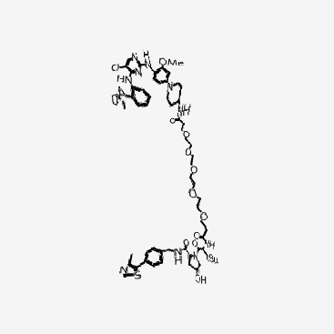 COc1cc(N2CCC(NC(=O)CCOCCOCCOCCOCCOCCC(=O)NC(C(=O)N3C[C@H](O)C[C@H]3C(=O)NCc3ccc(-c4scnc4C)cc3)C(C)(C)C)CC2)ccc1Nc1ncc(Cl)c(Nc2ccccc2P(C)(C)=O)n1